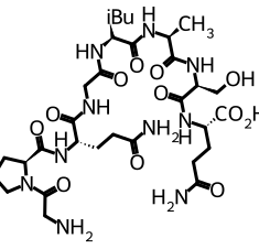 CC[C@H](C)[C@H](NC(=O)CNC(=O)[C@H](CCC(N)=O)NC(=O)[C@@H]1CCCN1C(=O)CN)C(=O)N[C@@H](C)C(=O)N[C@@H](CO)C(=O)N[C@@H](CCC(N)=O)C(=O)O